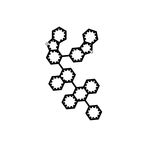 c1ccc(-c2c3ccccc3c(-c3ccc(-c4ccc5oc6ccccc6c5c4-c4ccc5oc6ccccc6c5c4)c4ccccc34)c3ccccc23)cc1